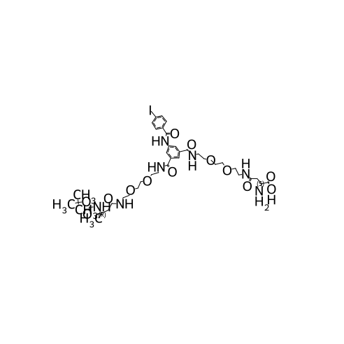 C[C@H](CC(=O)NCCOCCOCCNC(=O)c1cc(NC(=O)c2ccc(I)cc2)cc(C(=O)NCCOCCOCCNC(=O)C[C@H](N)C(=O)O)c1)NC(=O)OC(C)(C)C